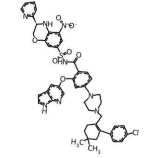 CC1(C)CCC(CN2CCN(c3ccc(C(=O)NS(=O)(=O)c4cc5c(c([N+](=O)[O-])c4)N[C@H](c4ccccn4)CO5)c(Oc4cnc5[nH]ccc5c4)c3)CC2)=C(c2ccc(Cl)cc2)C1